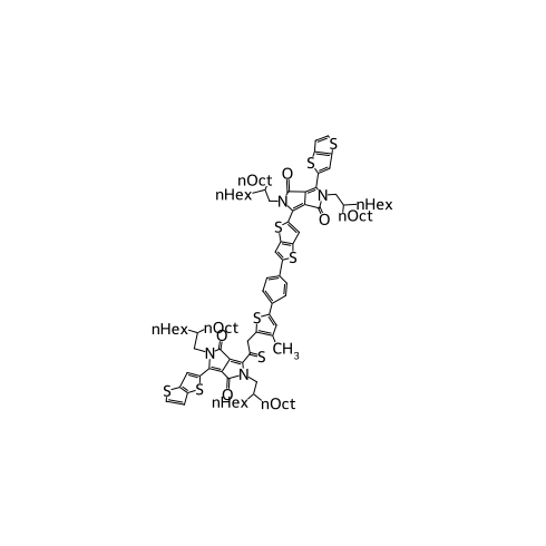 CCCCCCCCC(CCCCCC)CN1C(=O)C2=C(c3cc4sccc4s3)N(CC(CCCCCC)CCCCCCCC)C(=O)C2=C1C(=S)Cc1sc(-c2ccc(-c3cc4sc(C5=C6C(=O)N(CC(CCCCCC)CCCCCCCC)C(c7cc8sccc8s7)=C6C(=O)N5CC(CCCCCC)CCCCCCCC)cc4s3)cc2)cc1C